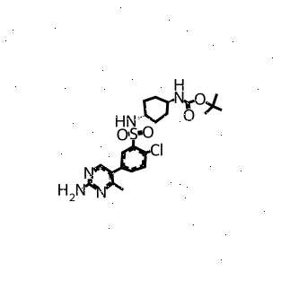 Cc1nc(N)ncc1-c1ccc(Cl)c(S(=O)(=O)N[C@H]2CC[C@H](NC(=O)OC(C)(C)C)CC2)c1